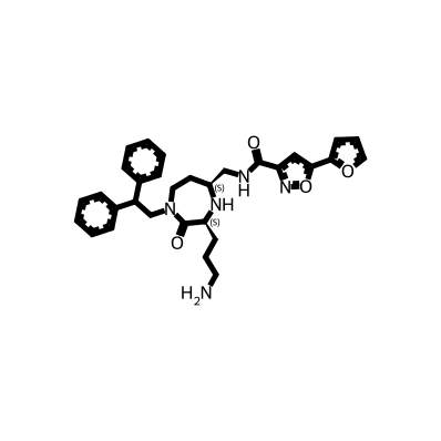 NCCC[C@@H]1N[C@H](CNC(=O)c2cc(-c3ccco3)on2)CCN(CC(c2ccccc2)c2ccccc2)C1=O